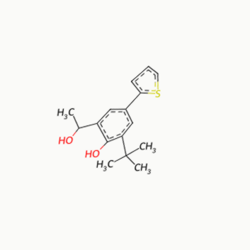 CC(O)c1cc(-c2cccs2)cc(C(C)(C)C)c1O